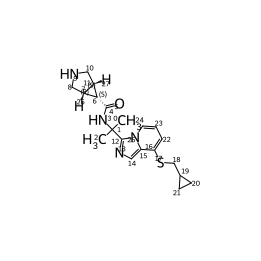 CC(C)(NC(=O)[C@@H]1[C@@H]2CNC[C@@H]21)c1ncc2c(SCC3CC3)cccn12